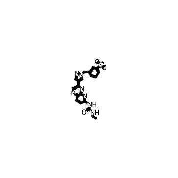 CCNC(=O)Nc1ccc2ncc(-c3cnn(Cc4cccc(S(C)(=O)=O)c4)c3)nc2n1